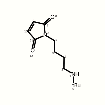 CC(C)(C)NCCCCN1C(=O)C=CC1=O